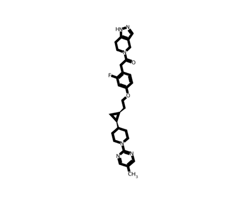 Cc1cnc(N2CCC([C@H]3C[C@H]3CCOc3ccc(CC(=O)N4CCc5[nH]ncc5C4)c(F)c3)CC2)nc1